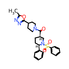 Cc1nnc(C2CCN(C(=O)[C@@H]3CC[C@H](c4ccccc4)N(S(=O)(=O)c4ccccc4)C3)CC2)o1